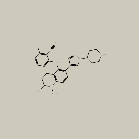 CC1CCc2c(ccc(-c3cnn(C4CCNCC4)c3)c2Oc2cccc(F)c2C#N)N1C